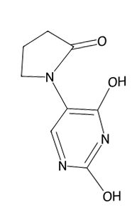 O=C1CCCN1c1cnc(O)nc1O